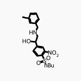 CCCCS(=O)(=O)c1ccc(C(O)CNCc2cccc(C)c2)cc1[N+](=O)[O-]